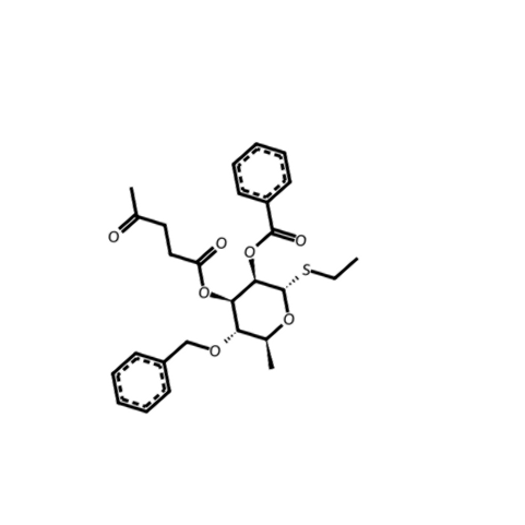 CCS[C@@H]1O[C@@H](C)[C@H](OCc2ccccc2)[C@@H](OC(=O)CCC(C)=O)[C@H]1OC(=O)c1ccccc1